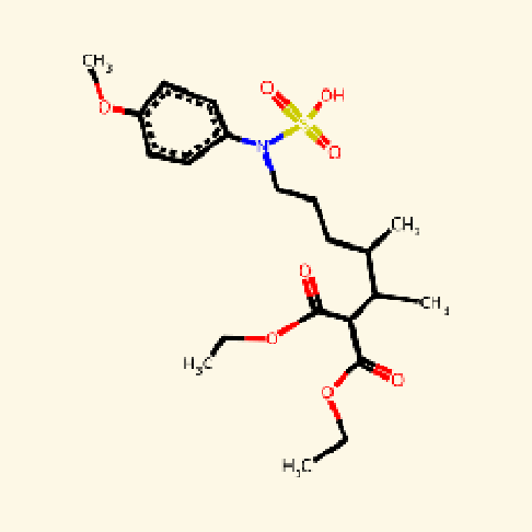 CCOC(=O)C(C(=O)OCC)C(C)C(C)CCCN(c1ccc(OC)cc1)S(=O)(=O)O